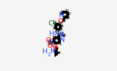 NC1(COc2cc3ncnc(Nc4ccc(OCc5ccccn5)c(Cl)c4)c3cc2[N+](=O)[O-])CC1